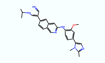 COc1cc(-c2cnc(C)n2C)ccc1Nc1cc2cc(/C(C=N)=C/NC(C)C)ccc2cn1